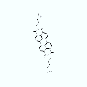 CN(C)CCCCN1C(=O)c2ccc3c4ccc5c6c(ccc(c7ccc(c2c37)C1=O)c64)C(=O)N(CCCN(C)C)C5=O